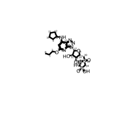 CCCOc1cc(NC2CCCC2)c2nnn([C@@H]3O[C@H](CS(=O)(=O)CP(=O)(O)O)[C@@H](O)[C@H]3O)c2n1